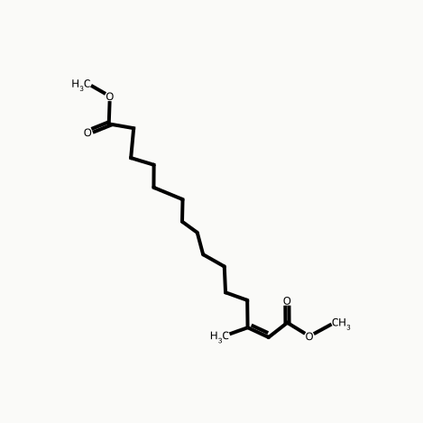 COC(=O)C=C(C)CCCCCCCCCCCC(=O)OC